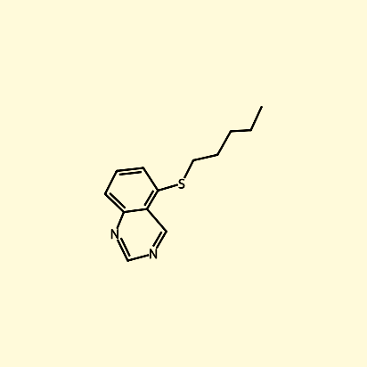 CCCCCSc1cccc2ncncc12